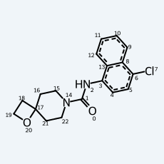 O=C(Nc1ccc(Cl)c2ccccc12)N1CCC2(CCO2)CC1